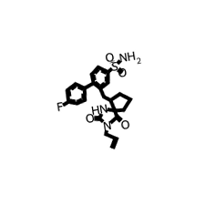 C=CCN1C(=O)NC2(CCCC2Cc2cc(S(N)(=O)=O)ccc2-c2ccc(F)cc2)C1=O